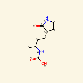 CC(CC[C@H]1CCNC1=O)NC(=O)O